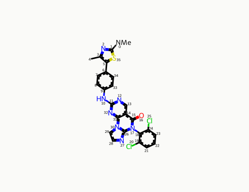 CNc1nc(C)c(-c2ccc(Nc3ncc4c(=O)n(-c5c(Cl)cccc5Cl)c5nccn5c4n3)cc2)s1